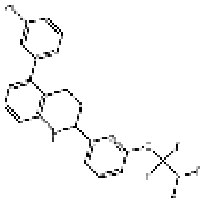 FC(F)C(F)(F)Oc1cccc(C2CCc3c(cccc3-c3cccc(Cl)c3)N2)c1